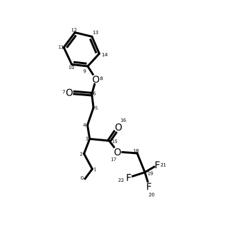 CCCC(CCC(=O)Oc1ccccc1)C(=O)OCC(F)(F)F